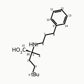 CC(C)(C)CC[C@@](C)(NCCCc1ccccc1)C(=O)O